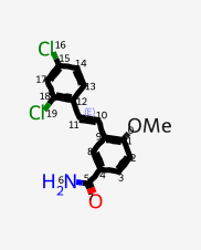 COc1ccc(C(N)=O)cc1/C=C/c1ccc(Cl)cc1Cl